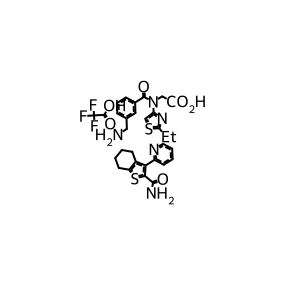 CCc1nc(N(CC(=O)O)C(=O)c2cccc(CN)c2)cs1.NC(=O)c1sc2c(c1-c1ccccn1)CCCC2.O=C(O)C(F)(F)F